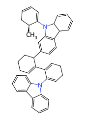 C[C@H]1CC=CC=C1N1c2cc(C3CCCC=C3C3=CCCC=C3n3c4ccccc4c4ccccc43)ccc2C2C=CC=CC21